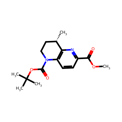 COC(=O)c1ccc2c(n1)[C@@H](C)CCN2C(=O)OC(C)(C)C